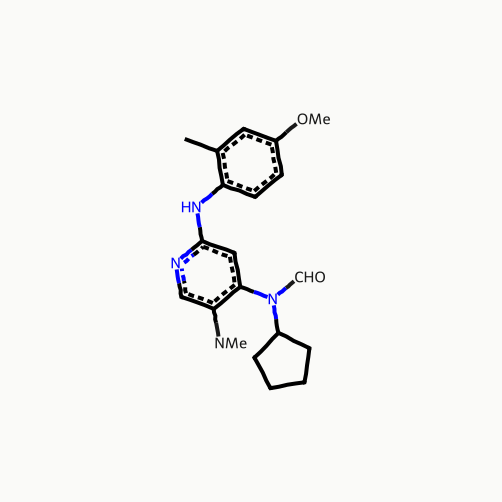 CNc1cnc(Nc2ccc(OC)cc2C)cc1N(C=O)C1CCCC1